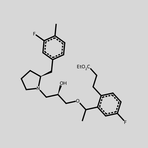 CCOC(=O)CCc1ccc(F)cc1C(C)OC[C@H](O)CN1CCC[C@H]1Cc1ccc(C)c(F)c1